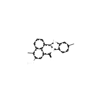 Cc1ccc2c(c1)nc1c3cccc4c(C)c(O)cc(c(=O)n21)c43